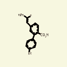 CCCC(F)=Cc1ccc(C(=O)O)c(-c2ccc(CC)cc2)c1